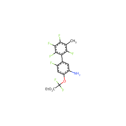 CCOC(=O)C(F)(F)Oc1cc(F)c(-c2c(F)c(C)c(F)c(F)c2F)cc1N